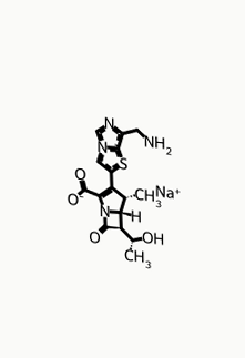 C[C@@H](O)[C@H]1C(=O)N2C(C(=O)[O-])=C(c3cn4cnc(CN)c4s3)[C@H](C)[C@H]12.[Na+]